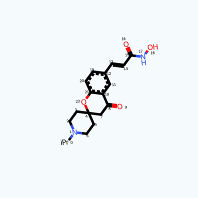 CC(C)N1CCC2(CC1)CC(=O)c1cc(C=CC(=O)NO)ccc1O2